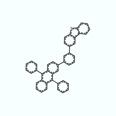 c1ccc(-c2c3ccccc3c(-c3ccccc3)c3cc(-c4cccc(-c5ccc6sc7ccccc7c6c5)c4)ccc23)cc1